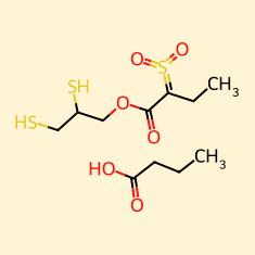 CCC(C(=O)OCC(S)CS)=S(=O)=O.CCCC(=O)O